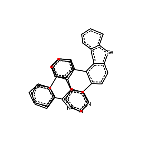 c1ccc(-c2ccccc2-c2c(-c3ccccc3)nnnc2-c2ccc3[se]c4ccccc4c3c2-c2ccccc2-c2ccccc2)cc1